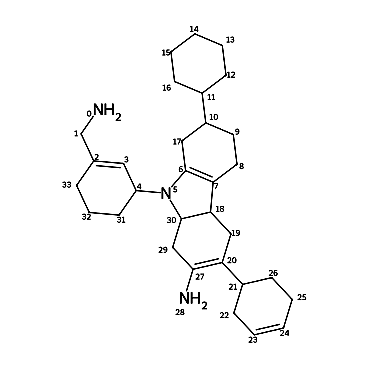 NCC1=CC(N2C3=C(CCC(C4CCCCC4)C3)C3CC(C4CC=CCC4)=C(N)CC32)CCC1